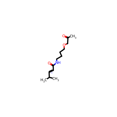 CC(=O)COCCCCNC(=O)/C=C/C(C)C